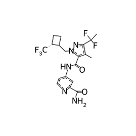 Cc1c(C(C)(F)F)nn(CC2CC[C@H]2C(F)(F)F)c1C(=O)Nc1ccnc(C(N)=O)c1